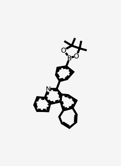 CC1(C)OB(c2ccc(-c3nc4ccccc4c4c5c(ccc34)C=CC=CC5)cc2)OC1(C)C